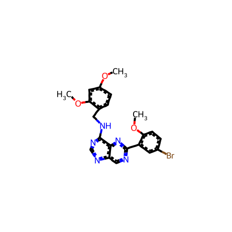 COc1ccc(CNc2ncnc3cnc(-c4cc(Br)ccc4OC)nc23)c(OC)c1